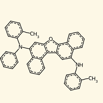 Cc1ccccc1Nc1cc2c(oc3cc(N(c4ccccc4)c4ccccc4C)c4ccccc4c32)c2ccccc12